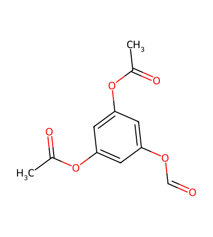 CC(=O)Oc1cc(OC=O)cc(OC(C)=O)c1